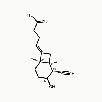 C#C[C@H]1[C@@H]2CC(=CCCC(=O)O)[C@@H]2CC[C@@H]1O